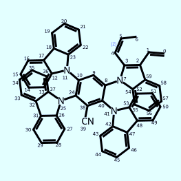 C=Cc1c(/C=C\C)n(-c2cc(-n3c4ccccc4c4ccccc43)c(-n3c4ccccc4c4ccccc43)c(C#N)c2-n2c3ccccc3c3ccccc32)c2ccccc12